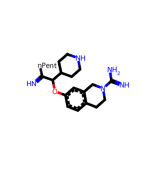 CCCCCC(=N)C(Oc1ccc2c(c1)CN(C(=N)N)CC2)C1CCNCC1